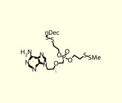 CCCCCCCCCCSSCCOP(=O)(CO[C@H](C)Cn1cnc2c(N)ncnc21)OCCSSC